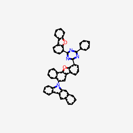 c1ccc(-c2nc(-c3cccc4c3oc3ccccc34)nc(-c3cccc4c3oc3c5ccccc5c(-n5c6ccccc6c6cc7ccccc7cc65)cc43)n2)cc1